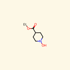 CCOC(=O)C1CCN(O)CC1